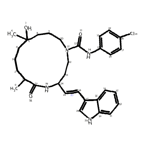 CC1CCCC(C)(O)CCCN(C(=O)Nc2ccc(Cl)cc2)CCC(/C=C/c2c[nH]c3ccccc23)NC1=O